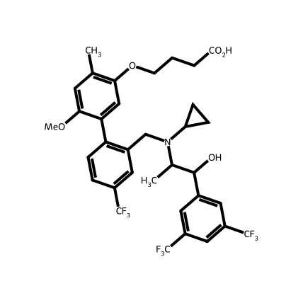 COc1cc(C)c(OCCCC(=O)O)cc1-c1ccc(C(F)(F)F)cc1CN(C1CC1)C(C)C(O)c1cc(C(F)(F)F)cc(C(F)(F)F)c1